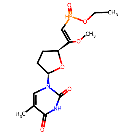 CCO[PH](=O)/C=C(\OC)[C@@H]1CC[C@H](n2cc(C)c(=O)[nH]c2=O)O1